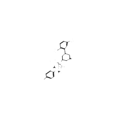 Cc1ccc(S(=O)(=O)NN(O)C2CC(=O)CC(c3cc(Cl)ccc3Cl)C2)cc1